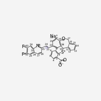 O=C([O-])c1ccccc1SC1c2ccccc2COc2ccc(/C=C/c3ccc4cc(F)c(F)cc4n3)cc21.[Na+]